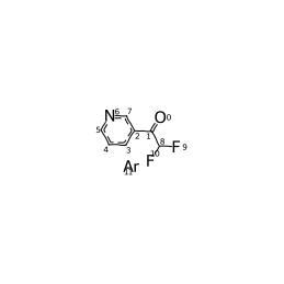 O=C(c1cccnc1)C(F)F.[Ar]